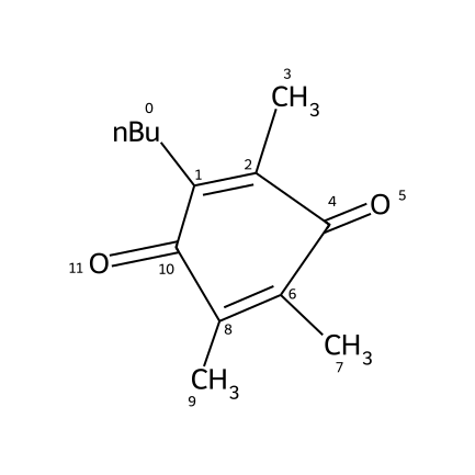 [CH2]CCCC1=C(C)C(=O)C(C)=C(C)C1=O